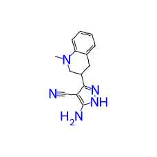 CN1CC(c2n[nH]c(N)c2C#N)Cc2ccccc21